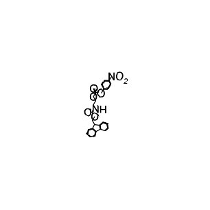 O=C(NCCOC(=O)Oc1ccc([N+](=O)[O-])cc1)OCC1c2ccccc2-c2ccccc21